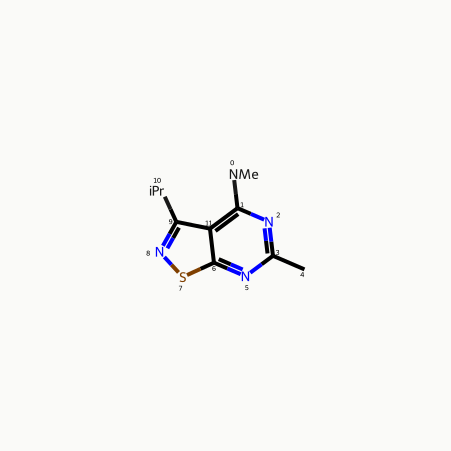 CNc1nc(C)nc2snc(C(C)C)c12